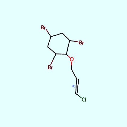 Cl/C=C/COC1C(Br)CC(Br)CC1Br